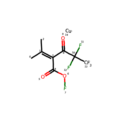 CC(C)=C(C(=O)OF)C(=O)C(F)(F)C(F)(F)F.[Cu]